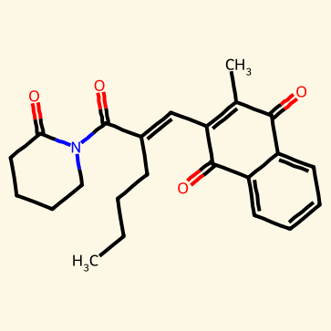 CCCCC(=CC1=C(C)C(=O)c2ccccc2C1=O)C(=O)N1CCCCC1=O